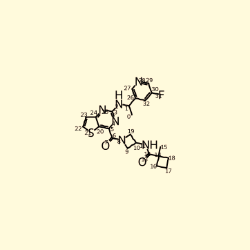 CC(Nc1nc(C(=O)N2CC(NC(=O)C3(C)CCC3)C2)c2sccc2n1)c1cncc(F)c1